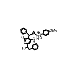 CCC(Cc1ccccc1)c1cc(O)c(C(c2ccccc2)C2CC2NS(=O)(=O)c2ccc(OC)cc2)c(=O)o1